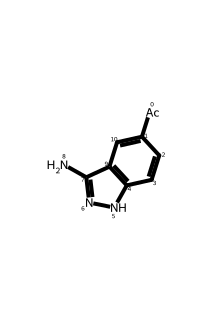 CC(=O)c1ccc2[nH]nc(N)c2c1